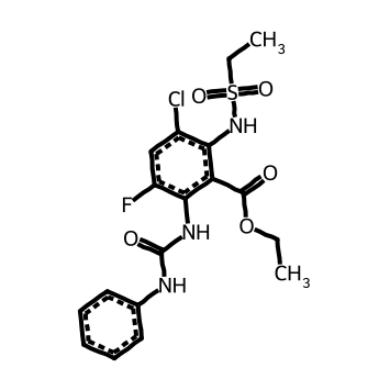 CCOC(=O)c1c(NC(=O)Nc2ccccc2)c(F)cc(Cl)c1NS(=O)(=O)CC